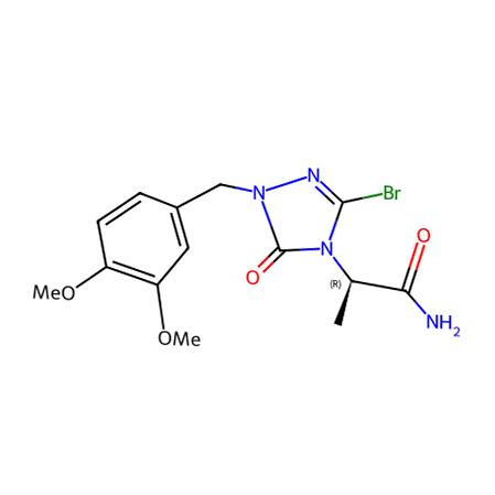 COc1ccc(Cn2nc(Br)n([C@H](C)C(N)=O)c2=O)cc1OC